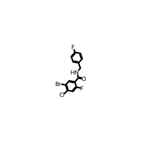 O=C(NCc1ccc(F)cc1)c1cc(Br)c(Cl)cc1F